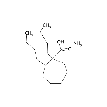 CCCCC1CCCCCC1(CCCC)C(=O)O.N